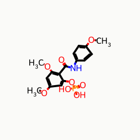 COc1ccc(NC(=O)c2c(OC)cc(OC)cc2OP(=O)(O)O)cc1